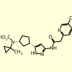 CC1(N(C(=O)O)[C@@H]2CC[C@H](c3cc(NC(=O)Cc4ccc(Cl)cn4)n[nH]3)C2)CC1